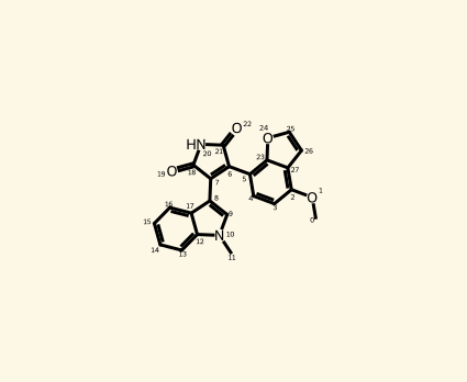 COc1ccc(C2=C(c3cn(C)c4ccccc34)C(=O)NC2=O)c2occc12